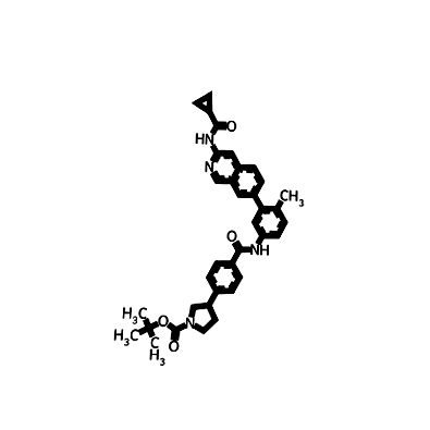 Cc1ccc(NC(=O)c2ccc(C3CCN(C(=O)OC(C)(C)C)C3)cc2)cc1-c1ccc2cc(NC(=O)C3CC3)ncc2c1